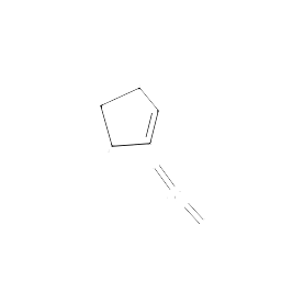 C1=CCCC1.C=C=C